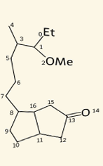 CCC(OC)C(C)CCCC1CCC2CC(=O)CC12